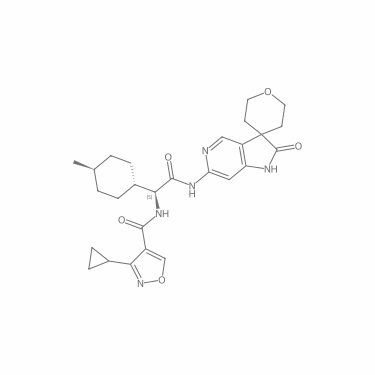 C[C@H]1CC[C@H]([C@H](NC(=O)c2conc2C2CC2)C(=O)Nc2cc3c(cn2)C2(CCOCC2)C(=O)N3)CC1